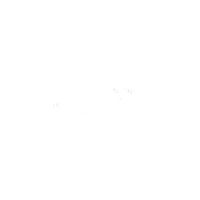 Cc1cn2c(/C=C/C(=O)c3ccc(C)c(C)c3)c(-c3ccc(F)cc3)nc2s1